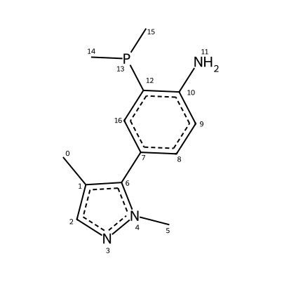 Cc1cnn(C)c1-c1ccc(N)c(P(C)C)c1